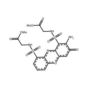 COC(=O)CNS(=O)(=O)c1c2nc3c(S(=O)(=O)NCC(=O)OC)cccc3oc-2cc(=O)c1N